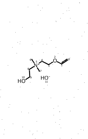 C=COCC[N+](C)(C)CCO.[OH-]